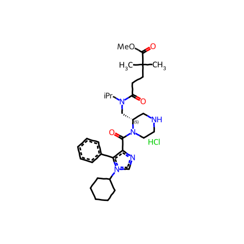 COC(=O)C(C)(C)CCC(=O)N(C[C@@H]1CNCCN1C(=O)c1ncn(C2CCCCC2)c1-c1ccccc1)C(C)C.Cl